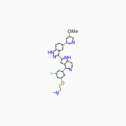 COc1cncc(-c2ccc3[nH]nc(-c4cc5c(-c6cc(F)cc(OCCN(C)C)c6)nccc5[nH]4)c3c2)c1